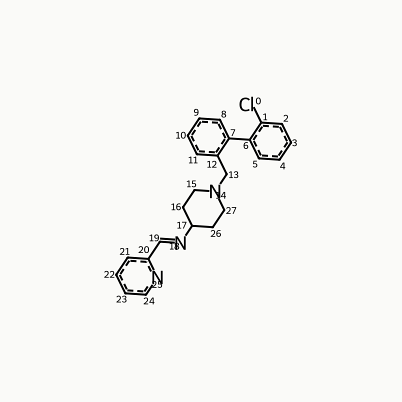 Clc1ccccc1-c1ccccc1CN1CCC(N=Cc2ccccn2)CC1